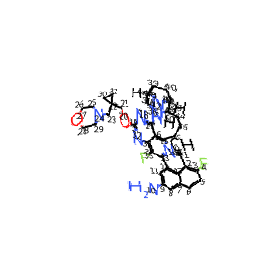 C#Cc1c(F)ccc2cc(N)cc(-c3nc4c5c(nc(OCC6(CN7CCOCC7)CC6)nc5c3F)N3C[C@H]5CC[C@H](N5)[C@H]3CCC4)c12